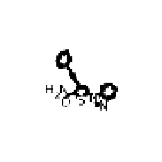 NC(=O)c1sc(-n2cnc3ccccc32)cc1C#Cc1ccccc1